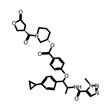 CC(NC(=O)c1cnnn1C)C(Oc1ccc(C(=O)O[C@H]2CCCN(C(=O)[C@H]3COC(=O)C3)C2)cc1)c1ccc(C2CC2)cc1